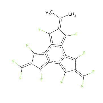 CC(C)=C1C(F)=c2c(c3c(c4c2=C(F)C(=C(F)F)C=4F)=C(F)C(=C(F)F)C=3F)=C1F